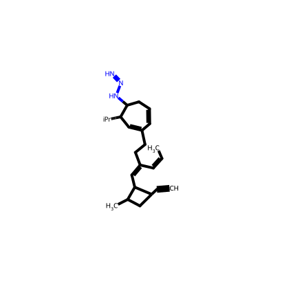 C#CC1CC(C)C1/C=C(\C=C/C)CCC1=CC(C(C)C)C(NN=N)CC=C1